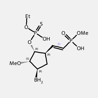 B[C@@H]1C[C@H](/C=C/P(=O)(O)OC)[C@@H](OP(O)(=S)OCC)[C@H]1OC